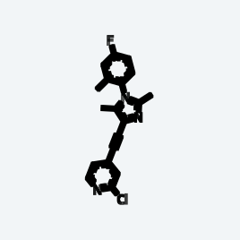 Cc1cc(F)ccc1-n1c(C)nc(C#Cc2ccnc(Cl)c2)c1C